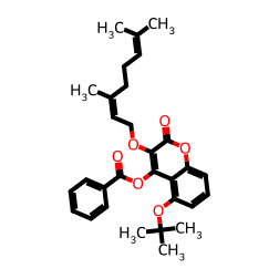 CC(C)=CCCC(C)=CCOc1c(OC(=O)c2ccccc2)c2c(OC(C)(C)C)cccc2oc1=O